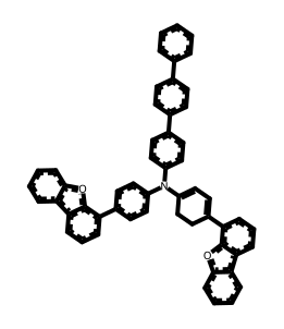 C1=C(c2cccc3c2oc2ccccc23)CCC(N(c2ccc(-c3ccc(-c4ccccc4)cc3)cc2)c2ccc(-c3cccc4c3oc3ccccc34)cc2)=C1